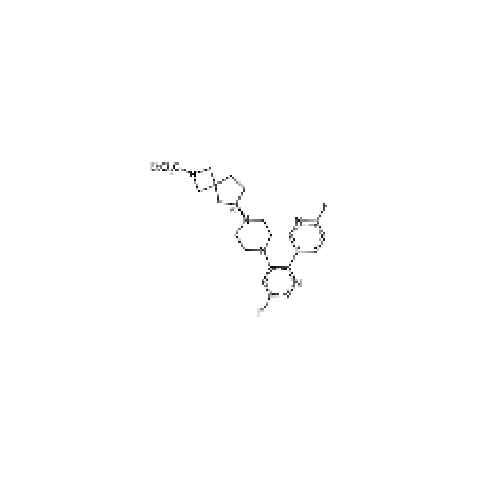 CCOC(=O)N1CC2(CC[C@@H](N3CCN(c4cc(F)cnc4-c4ccc(F)nc4)CC3)C2)C1